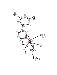 COC1CCC2(CC1)Cc1ccc(-c3cc(Cl)cc(C#N)c3)cc1C21N=C(N)N(C)C1=O